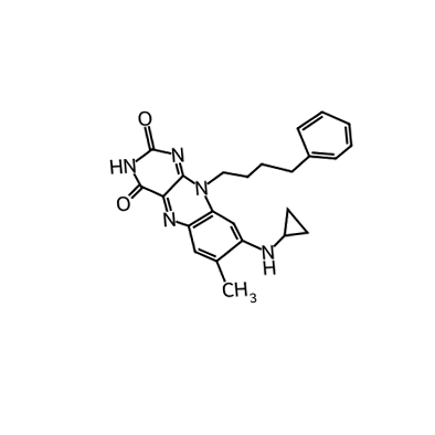 Cc1cc2nc3c(=O)[nH]c(=O)nc-3n(CCCCc3ccccc3)c2cc1NC1CC1